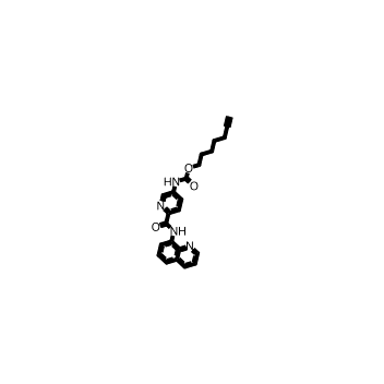 C#CCCCCCOC(=O)Nc1ccc(C(=O)Nc2cccc3cccnc23)nc1